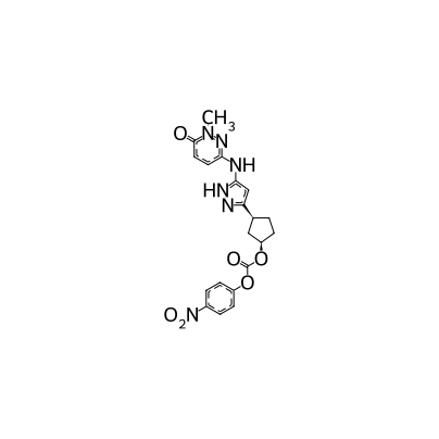 Cn1nc(Nc2cc([C@H]3CC[C@@H](OC(=O)Oc4ccc([N+](=O)[O-])cc4)C3)n[nH]2)ccc1=O